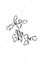 c1ccc(-n2c3ccccc3c3cc(C4N=C(c5cc(-n6c7ccccc7c7cc8ccccc8cc76)c6oc7ccccc7c6c5)N=C(c5cccc6ccccc56)N4)ccc32)cc1